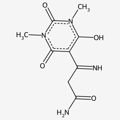 Cn1c(O)c(C(=N)CC(N)=O)c(=O)n(C)c1=O